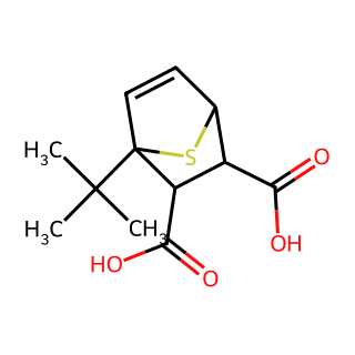 CC(C)(C)C12C=CC(S1)C(C(=O)O)C2C(=O)O